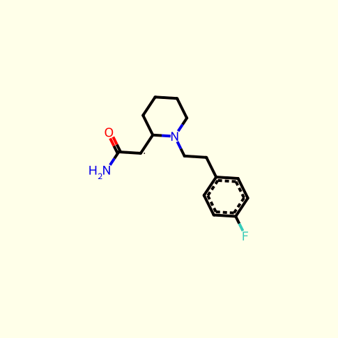 NC(=O)[CH]C1CCCCN1CCc1ccc(F)cc1